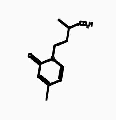 CC(CCn1ccc(I)cc1=O)C(=O)O